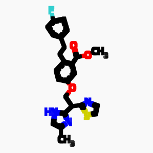 COC(=O)c1cc(OCC(c2nc(C)c[nH]2)c2nccs2)ccc1CCc1ccc(F)cc1